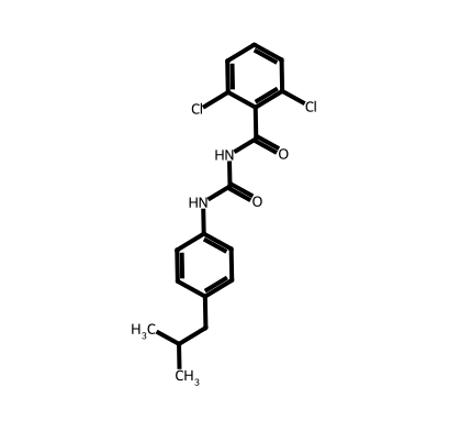 CC(C)Cc1ccc(NC(=O)NC(=O)c2c(Cl)cccc2Cl)cc1